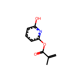 C=C(C)C(=O)Oc1cccc(O)n1